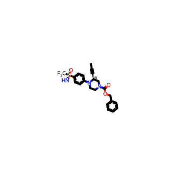 CC#C[C@H]1CN(C(=O)OCc2ccccc2)CCN1c1ccc(S(=N)(=O)C(F)(F)F)cc1